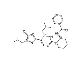 CC(C)C[C@H](NC(=O)[C@@H]1CCCC[C@@H]1NC(=O)c1ccccc1)C(=O)c1nn(CC(C)C)c(=O)o1